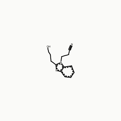 N#CCCn1c(CCCO)nc2ccccc21